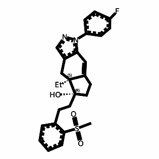 CC[C@]12Cc3cnn(-c4ccc(F)cc4)c3C=C1CC[C@@]2(O)CCc1ccccc1S(C)(=O)=O